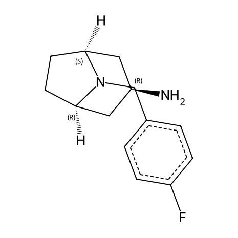 N[C@H]1C[C@H]2CC[C@@H](C1)N2Cc1ccc(F)cc1